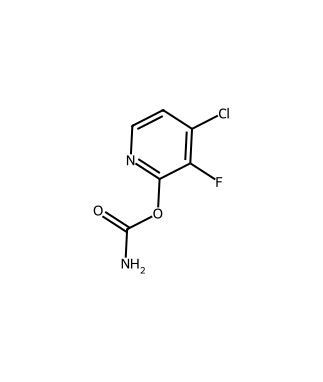 NC(=O)Oc1nccc(Cl)c1F